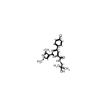 Cc1nn(C)cc1-c1nc(C(=O)NCC(C)(C)O)cc(-c2ccc(Cl)cc2)n1